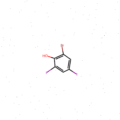 Oc1c(Br)cc(I)cc1I